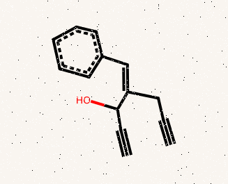 C#CCC(=Cc1ccccc1)C(O)C#C